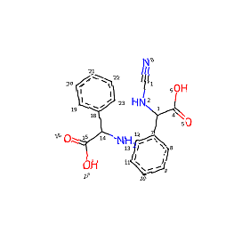 N#CNC(C(=O)O)c1ccccc1.NC(C(=O)O)c1ccccc1